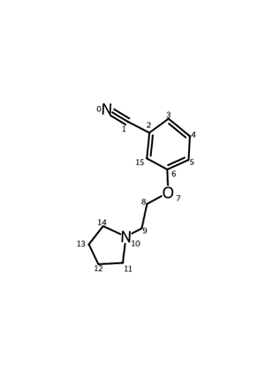 N#Cc1cccc(OCCN2CCCC2)c1